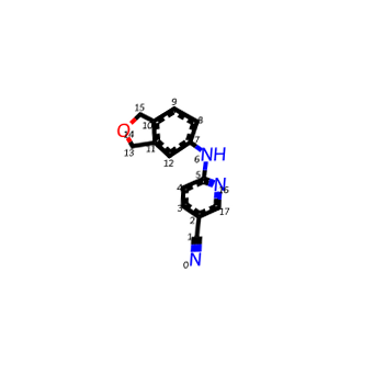 N#Cc1ccc(Nc2ccc3c(c2)COC3)nc1